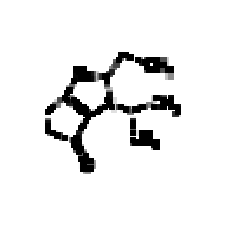 CCc1nc2c(n1C(C)C)C(=O)CC2